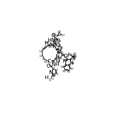 Cn1ccc(C(=O)N[C@H]2CCCCC/C=C\[C@@H]3C[C@@]3(C(=O)NS(=O)(=O)C3CC3)NC(=O)[C@@H]3C[C@@H](Oc4nc5ccccc5nc4C(F)(F)F)CN3C2=O)n1